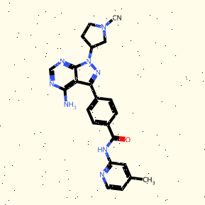 Cc1ccnc(NC(=O)c2ccc(-c3nn(C4CCN(C#N)C4)c4ncnc(N)c34)cc2)c1